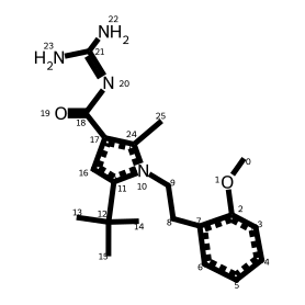 COc1ccccc1CCn1c(C(C)(C)C)cc(C(=O)N=C(N)N)c1C